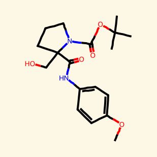 COc1ccc(NC(=O)C2(CO)CCCN2C(=O)OC(C)(C)C)cc1